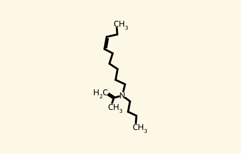 C=C(C)N(CCCC)CCCCC/C=C\CC